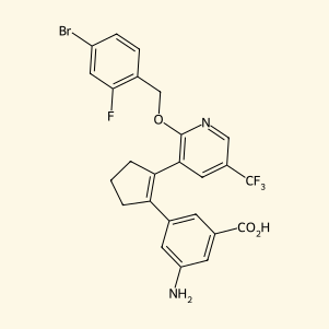 Nc1cc(C(=O)O)cc(C2=C(c3cc(C(F)(F)F)cnc3OCc3ccc(Br)cc3F)CCC2)c1